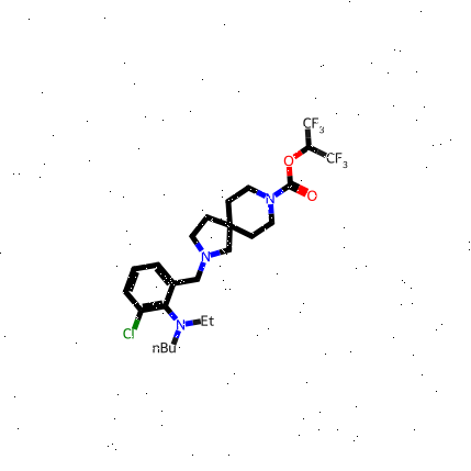 CCCCN(CC)c1c(Cl)cccc1CN1CCC2(CCN(C(=O)OC(C(F)(F)F)C(F)(F)F)CC2)C1